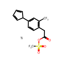 O=C(Cc1ccc(C2C=CC=C2)cc1C(F)(F)F)OS(=O)(=O)C(F)(F)F.[Ti]